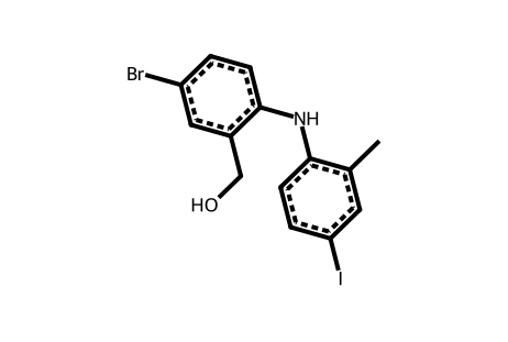 Cc1cc(I)ccc1Nc1ccc(Br)cc1CO